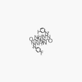 CN(c1ccc(F)cc1)c1nc(=O)c2ncn(-n3cnc4c(=O)nc(N(C)c5cccc(I)c5)[nH]c43)c2[nH]1